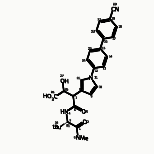 CNC(=O)[C@@H](NC(=O)C(c1ccn(-c2ccc(-c3ccc(C#N)cc3)cc2)c1)C(O)C(=O)O)C(C)(C)C